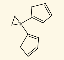 C1=CC[C]([Ti]2([C]3=CC=CC3)[CH2][CH2]2)=C1